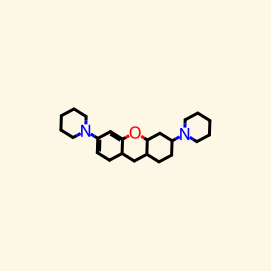 C1=C2OC3CC(N4CCCCC4)CCC3CC2CC=C1N1CCCCC1